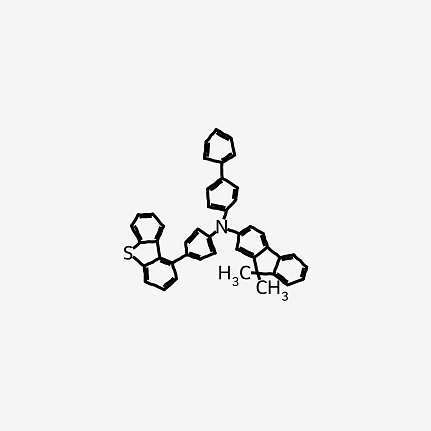 CC1(C)c2ccccc2-c2ccc(N(c3ccc(-c4ccccc4)cc3)c3ccc(-c4cccc5sc6ccccc6c45)cc3)cc21